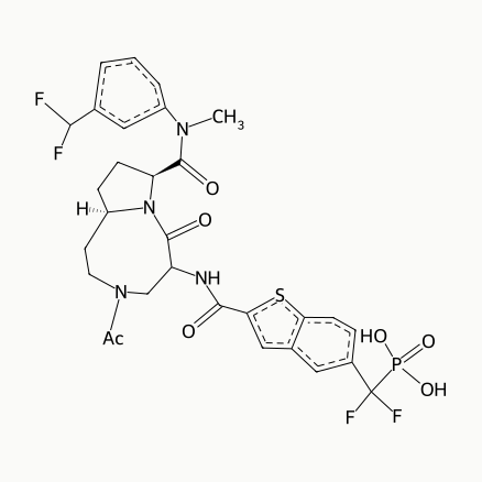 CC(=O)N1CC[C@H]2CC[C@@H](C(=O)N(C)c3cccc(C(F)F)c3)N2C(=O)C(NC(=O)c2cc3cc(C(F)(F)P(=O)(O)O)ccc3s2)C1